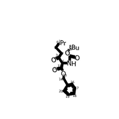 CC(C)CCC(=O)C(NC(=O)OC(C)(C)C)C(=O)OCc1ccccc1